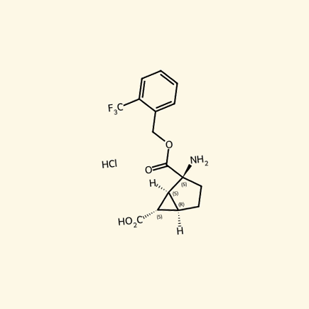 Cl.N[C@@]1(C(=O)OCc2ccccc2C(F)(F)F)CC[C@H]2[C@H](C(=O)O)[C@H]21